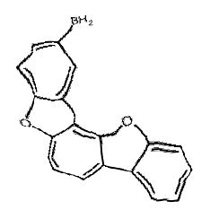 Bc1ccc2oc3ccc4c5ccccc5oc4c3c2c1